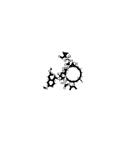 CCC(C)N(C(=O)O)[C@@H]1C(=O)N2[C@@H](C[C@@](C)(Oc3nc(OC)cc4cc(OC)ccc34)C2(F)F)C(=O)N[C@]2(C(=O)NS(=O)(=O)C3(CF)CC3)C[C@H]2/C=C\CC[C@@H](C)C[C@H]1C